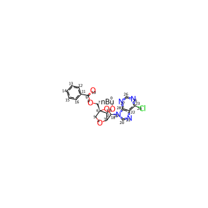 CCCCOC1C2OC[C@]1(COC(=O)c1ccccc1)O[C@H]2n1cnc2c(Cl)ncnc21